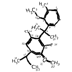 COc1c(C)cccc1C(C)(C)c1c(Cl)cc(C(C)C)c(OC)c1F